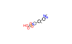 Cc1cc(C2CCN(S(=O)(=O)C(C)(C)C(=O)O)CC2)ccc1-c1ccc2c(c1)nc(C)n2C